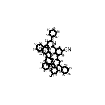 Cc1cc(C)cc(-c2ccc3c4ccccc4n(-c4c(-c5cc(-c6ccccc6)nc(-c6ccccc6)n5)cc(C#N)cc4-c4nc(-c5ccccc5)cc(-c5ccccc5)n4)c3c2)c1